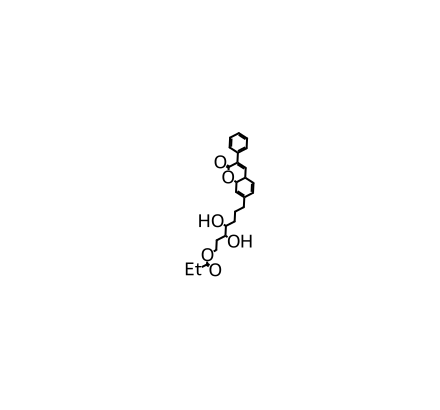 CCC(=O)OCCC(O)C(O)CCCC1=CC2OC(=O)C(c3ccccc3)=CC2C=C1